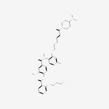 COc1cc(C(=O)N(C)c2ccc(C)cc2OCCC/C=C/C(=O)N2CCC(N(C)C)CC2)ccc1NC(=O)c1ccccc1OCCCN